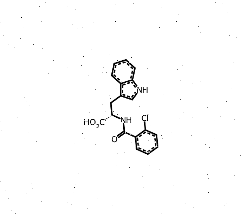 O=C(N[C@@H](Cc1c[nH]c2ccccc12)C(=O)O)c1ccccc1Cl